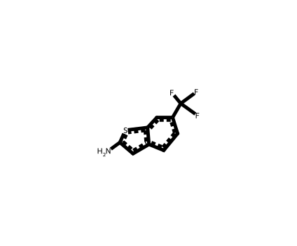 Nc1cc2ccc(C(F)(F)F)cc2s1